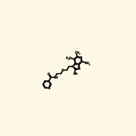 CCCc1nc2c(N)nc(C)c(C)c2n1CCOCCNC(=O)c1cccnc1